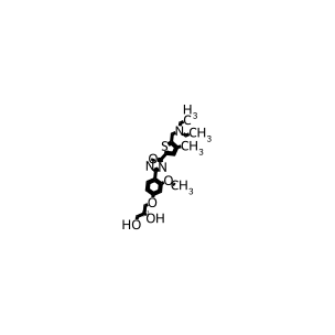 CCN(CC)Cc1sc(-c2nc(-c3ccc(OC[C@@H](O)CO)cc3OC)no2)cc1C